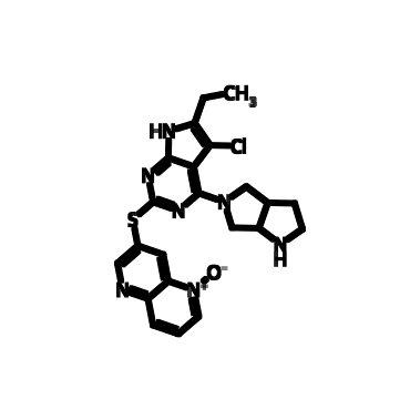 CCc1[nH]c2nc(Sc3cnc4ccc[n+]([O-])c4c3)nc(N3CC4CCNC4C3)c2c1Cl